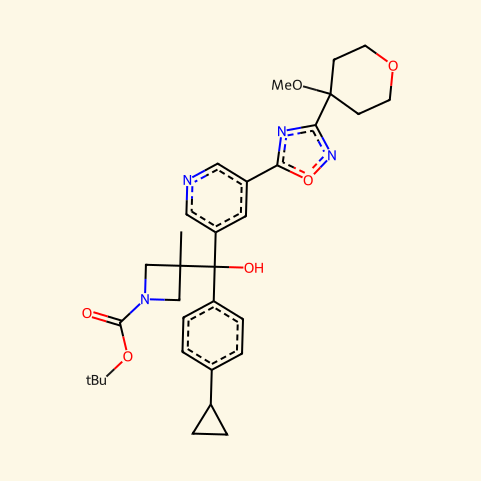 COC1(c2noc(-c3cncc(C(O)(c4ccc(C5CC5)cc4)C4(C)CN(C(=O)OC(C)(C)C)C4)c3)n2)CCOCC1